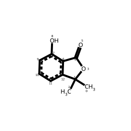 CC1(C)OC(=O)c2c(O)cccc21